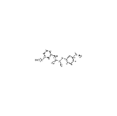 CCOC(=O)c1cccc(NC(=O)C(CC)Cc2cccc(SC(C)=O)c2)c1